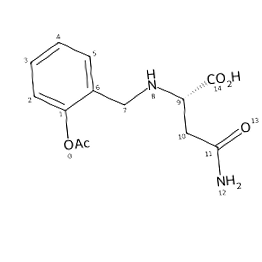 CC(=O)Oc1ccccc1CN[C@@H](CC(N)=O)C(=O)O